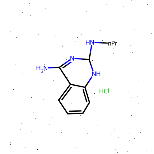 CCCNC1N=C(N)c2ccccc2N1.Cl